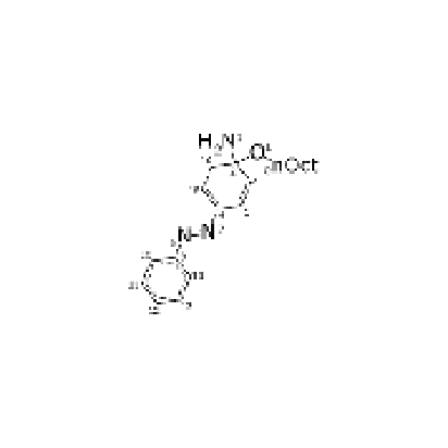 CCCCCCCCOC1(N)C=CC(N=Nc2ccccc2)=CC1